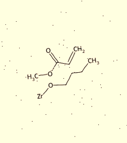 C=CC(=O)OC.CCCC[O][Zr]